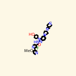 COc1ccncc1-c1nccc(C(=O)Nc2nc3ccc(N4CCC(N5CC6(CCN(C)CC6)C5)CC4)cc3n2[C@H]2CC[C@@H](O)CC2)c1F